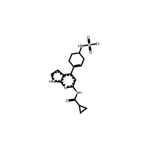 CCS(=O)(=O)NC1CC=C(c2cc(NC(=O)C3CC3)nc3[nH]ccc23)CC1